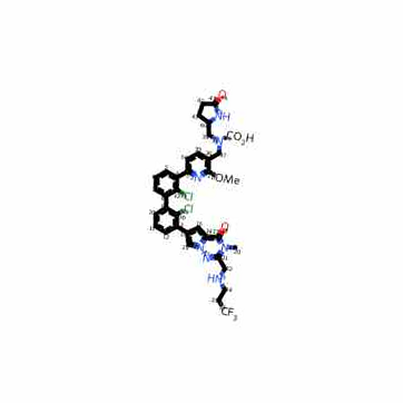 COc1nc(-c2cccc(-c3cccc(-c4cc5c(=O)n(C)c(CNCCC(F)(F)F)nn5c4)c3Cl)c2Cl)ccc1CN(CC1CCC(=O)N1)C(=O)O